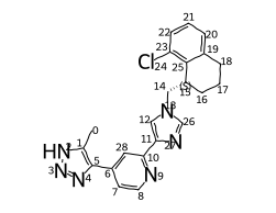 Cc1[nH]nnc1-c1ccnc(-c2cn(C[C@H]3CCCc4cccc(Cl)c43)cn2)c1